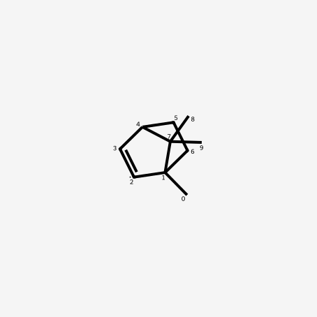 CC12[C]=CC(CC1)C2(C)C